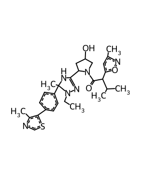 CCN1N=C(C2CC(O)CN2C(=O)C(c2cc(C)no2)C(C)C)NC1(C)c1ccc(-c2scnc2C)cc1